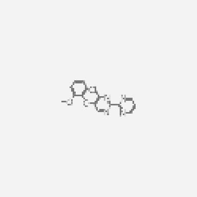 COc1ccccc1Oc1cnc(-c2ncccn2)nc1Cl